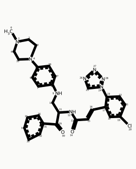 CN1CCN(c2ccc(NCC(NC(=O)/C=C/c3cc(Cl)ccc3-n3cnnn3)C(=O)c3ccccc3)cc2)CC1